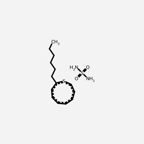 CCCCCCc1cccccccs1.NS(N)(=O)=O